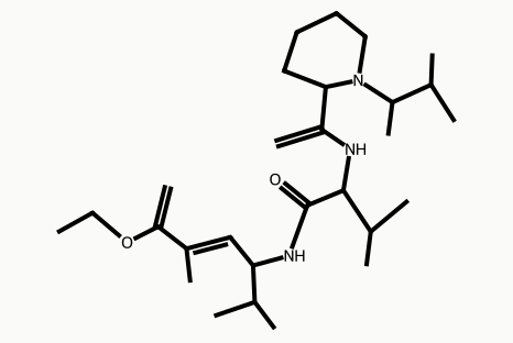 C=C(OCC)/C(C)=C/C(NC(=O)C(NC(=C)C1CCCCN1C(C)C(C)C)C(C)C)C(C)C